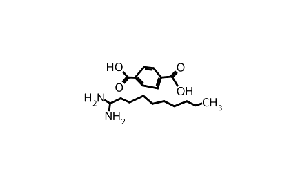 CCCCCCCCCC(N)N.O=C(O)c1ccc(C(=O)O)cc1